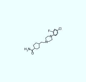 NC(=O)C1CCC(CCN2CCN(c3ccc(Cl)cc3F)CC2)CC1